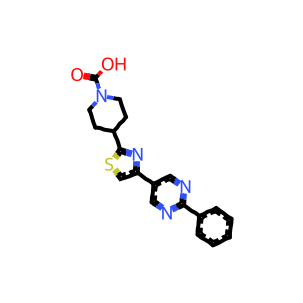 O=C(O)N1CCC(c2nc(-c3cnc(-c4ccccc4)nc3)cs2)CC1